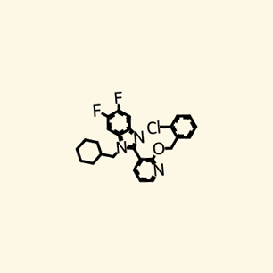 Fc1cc2nc(-c3cccnc3OCc3ccccc3Cl)n(CC3CCCCC3)c2cc1F